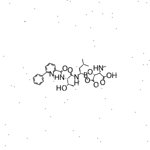 CN[C@@H](C(=O)O)[C@H]1OB([C@H](CC(C)C)NC(=O)[C@@H](NC(=O)c2cccc(-c3ccccc3)n2)[C@@H](C)O)OC1=O